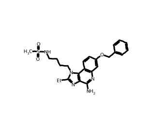 CCc1nc2c(N)nc3cc(OCc4ccccc4)ccc3c2n1CCCCNS(C)(=O)=O